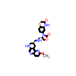 COc1ccc2ncc3c(c2n1)C[C@H](CNC[C@H]1COC(=O)N1c1ccc2c(c1)NC(=O)CS2)CN3